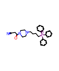 N#CCC(=O)N1CCN(CCCC[PH](c2ccccc2)(c2ccccc2)c2ccccc2)CC1